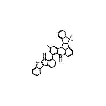 Cc1cc(-c2cccc3c2[nH]c2sc4ccccc4c23)c2c(c1)C1C3=C(c4cccc(c41)B2)C(C)(C)c1ccccc13